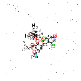 CC12CCC(C(=O)OC(Cc3c(Cl)c[n+]([O-])cc3Cl)c3ccc(OC(F)F)c(OCC4CC4)c3)(OC1=O)C2(C)C